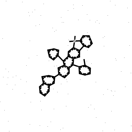 Cc1ccccc1-c1c2ccc(-c3ccc4ccccc4c3)cc2c(-c2ccccc2)c2cc3c(cc12)-c1ccccc1S3(C)C